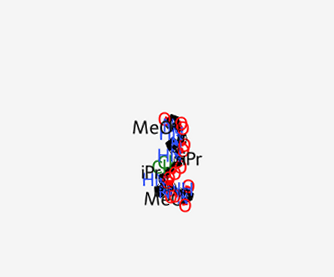 CON1C(=O)CCC(=O)[C@]1(C)C(=O)N[C@@H](C)C(=O)N1CCC[C@H]1C(=O)N[C@H](C(=O)C(Cl)C(=O)C(Cl)C(=O)[C@@H](NC(=O)[C@@H]1CCCN1C(=O)[C@H](C)NC(=O)[C@@]1(C)C(=O)CCC(=O)N1OC)C(C)C)C(C)C